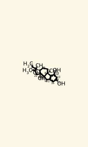 C=CC(C)(C)[C@H]1CC[C@]2(C)c3c(O)cc(O)cc3C[C@H]2[C@]1(C)CCC